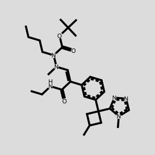 CCCCN(C(=O)OC(C)(C)C)N(C)/C=C(\C(=O)NCC)c1cccc(C2(c3nncn3C)CC(C)C2)c1